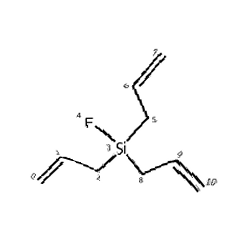 C=CC[Si](F)(CC=C)CC=C